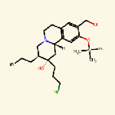 CC(C)CC[C@H]1CN2CCc3cc(CO)c(O[Si](C)(C)C(C)(C)C)cc3[C@@H]2C[C@@]1(O)CCC[19F]